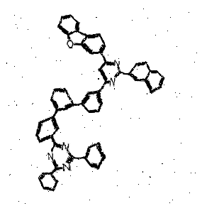 c1ccc(-c2nc(-c3ccccc3)nc(-c3cccc(-c4cccc(-c5cccc(-c6cc(-c7ccc8c(c7)oc7ccccc78)nc(-c7ccc8ccccc8c7)n6)c5)c4)c3)n2)cc1